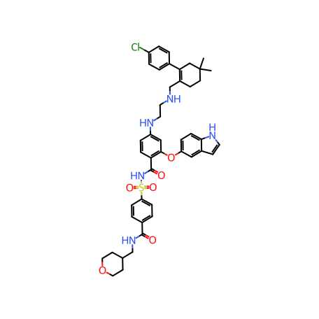 CC1(C)CCC(CNCCNc2ccc(C(=O)NS(=O)(=O)c3ccc(C(=O)NCC4CCOCC4)cc3)c(Oc3ccc4[nH]ccc4c3)c2)=C(c2ccc(Cl)cc2)C1